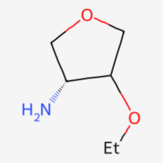 CCOC1COC[C@H]1N